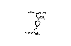 CCCCCCC(CCCC)CCN1CCC(N(C)CC(CCCCCC)CCCCCC)CC1